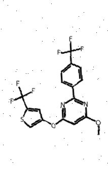 COc1cc(Oc2csc(C(F)(F)F)c2)nc(-c2ccc(C(F)(F)F)cc2)n1